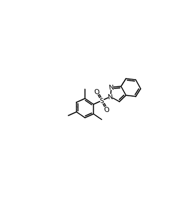 Cc1cc(C)c(S(=O)(=O)n2cc3ccccc3n2)c(C)c1